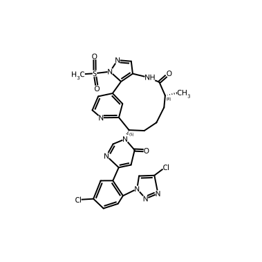 C[C@@H]1CCC[C@H](n2cnc(-c3cc(Cl)ccc3-n3cc(Cl)nn3)cc2=O)c2cc(ccn2)-c2c(cnn2S(C)(=O)=O)NC1=O